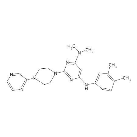 Cc1ccc(Nc2cc(N(C)C)nc(N3CCN(c4cnccn4)CC3)n2)cc1C